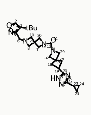 CC(C)(C)c1conc1CN1CC2(C1)CN(C(=O)N1CC3(CC(c4nc(C5CC5)n[nH]4)C3)C1)C2